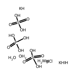 Cl.I.O.O.O=P(O)(O)O.O=S(=O)(O)O.O=S(=O)(O)O.[KH].[KH].[MgH2]